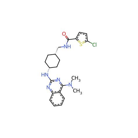 CN(C)c1nc(N[C@H]2CC[C@@H](CNC(=O)c3ccc(Cl)s3)CC2)nc2ccccc12